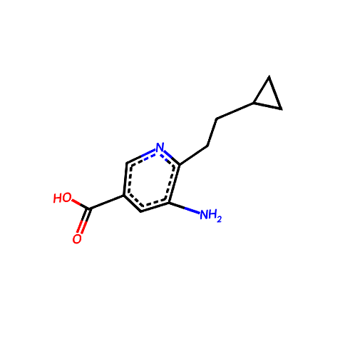 Nc1cc(C(=O)O)cnc1CCC1CC1